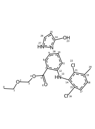 CCOCOC(=O)c1ccccc1Nc1c(Cl)ccc(C)c1Cl.Oc1cc[nH]n1